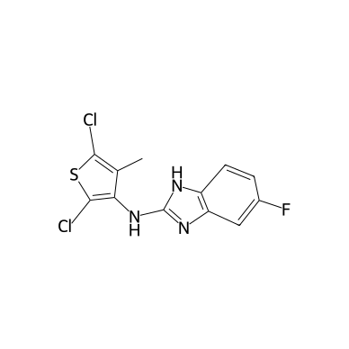 Cc1c(Cl)sc(Cl)c1Nc1nc2cc(F)ccc2[nH]1